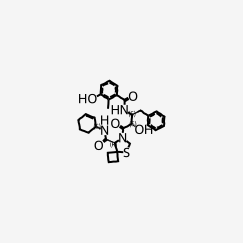 Cc1c(O)cccc1C(=O)N[C@@H](Cc1ccccc1)[C@H](O)C(=O)N1CSC2(CCC2)[C@H]1C(=O)N[C@@H]1C=CCCC1